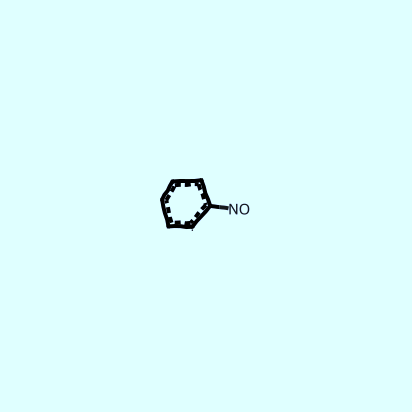 O=Nc1[c]cccc1